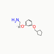 C[C@H](CN)Oc1cccc(OCC2CCCC2)c1